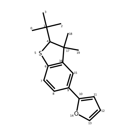 CC(C)(C)C1Sc2ccc(-c3ccco3)cc2C1(C)C